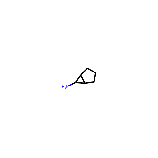 NC1C2CCCC12